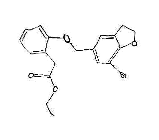 CCOC(=O)Cc1ccccc1OCc1cc(Br)c2c(c1)CCO2